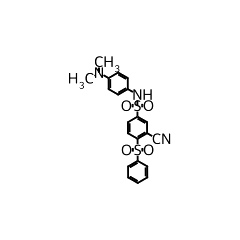 CN(C)c1ccc(NS(=O)(=O)c2ccc(S(=O)(=O)c3ccccc3)c(C#N)c2)cc1